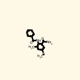 COc1cc(C)c(NC(=O)c2ccccc2)c(C(N)=O)c1